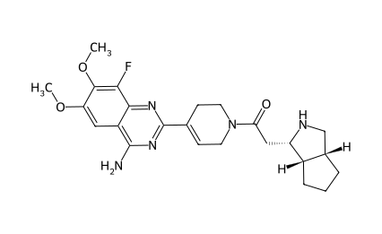 COc1cc2c(N)nc(C3=CCN(C(=O)C[C@@H]4NC[C@@H]5CCC[C@@H]54)CC3)nc2c(F)c1OC